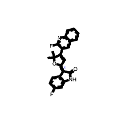 CC1(C)O/C(=C2/C(=O)Nc3cc(F)ccc32)C=C1c1cc2ccccc2nc1F